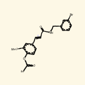 COc1cc(/C=C/C(=O)NCc2cccc(Br)c2)ccc1OC(=O)C(C)C